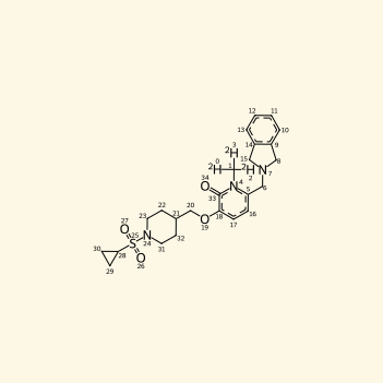 [2H]C([2H])([2H])n1c(CN2Cc3ccccc3C2)ccc(OCC2CCN(S(=O)(=O)C3CC3)CC2)c1=O